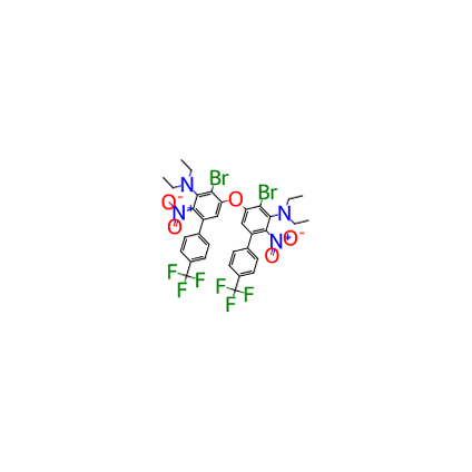 CCN(CC)c1c(Br)c(Oc2cc(-c3ccc(C(F)(F)F)cc3)c([N+](=O)[O-])c(N(CC)CC)c2Br)cc(-c2ccc(C(F)(F)F)cc2)c1[N+](=O)[O-]